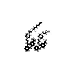 CCCCCCC(=O)OCCN1CCN(CCCN2c3ccccc3Sc3ccc(C(F)(F)F)cc32)CC1.OCCN1CCN(CCCN2c3ccccc3Sc3ccc(C(F)(F)F)cc32)CC1